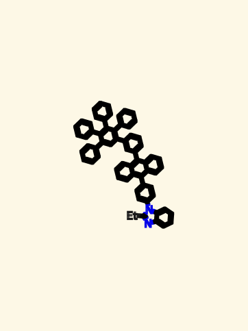 CCc1nc2ccccc2n1-c1ccc(-c2c3ccccc3c(-c3cccc(-c4cc(-c5ccccc5)c(-c5ccccc5)c(-c5ccccc5)c4-c4ccccc4)c3)c3ccccc23)cc1